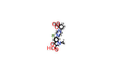 O=C(O)c1cn(C2CC2)c2cc(N3CCN(C4CCCc5oc(=O)oc54)CC3)c(F)cc2c1=O